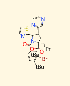 CC(C)C[C@@]1(C(=O)OC(C)(C)C)C[C@H](c2cnccn2)[C@H](c2nccs2)N1C(=O)c1ccc(C(C)(C)C)c(Br)c1